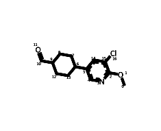 COc1ncc(C2CCC(C=O)CC2)cc1Cl